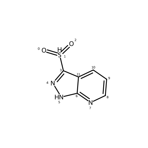 O=[SH](=O)c1n[nH]c2ncccc12